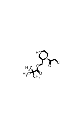 CC(C)(C)C(=O)OC[C@H]1CNCCN1C(=O)CCl